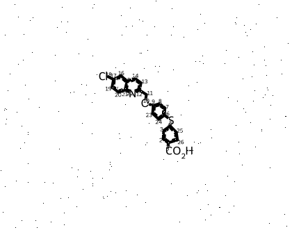 O=C(O)c1ccc(Sc2ccc(OCc3ccc4cc(Cl)ccc4n3)cc2)cc1